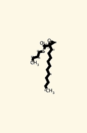 CCCCCCCCCCCC1(C(=O)SCCCC)CO1